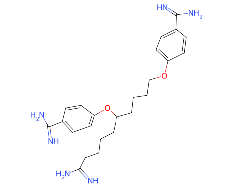 N=C(N)CCCCC(CCCCOc1ccc(C(=N)N)cc1)Oc1ccc(C(=N)N)cc1